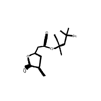 C=C1CC(CC(=O)OC(C)(C)CC(C)(C)C(C)=O)OC1=O